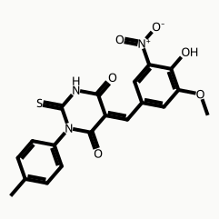 COc1cc(C=C2C(=O)NC(=S)N(c3ccc(C)cc3)C2=O)cc([N+](=O)[O-])c1O